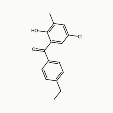 CCc1ccc(C(=O)c2cc(Cl)cc(C)c2O)cc1